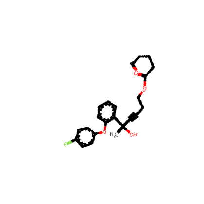 CC(O)(C#CCCOC1CCCCO1)c1ccccc1Oc1ccc(F)cc1